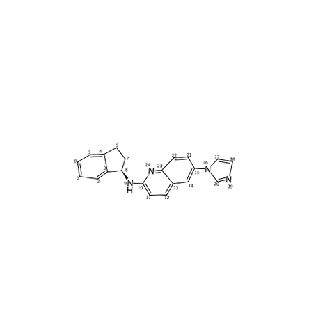 c1ccc2c(c1)CC[C@H]2Nc1ccc2cc(-n3ccnc3)ccc2n1